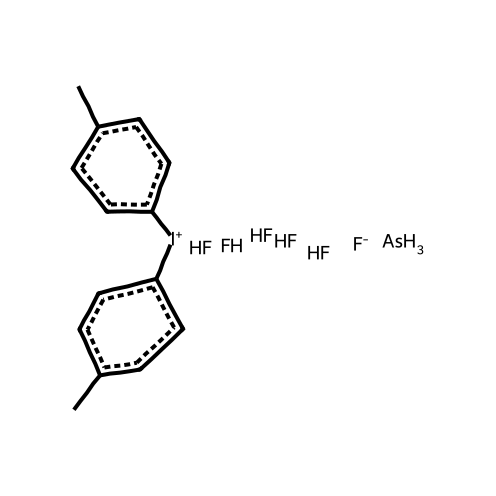 Cc1ccc([I+]c2ccc(C)cc2)cc1.F.F.F.F.F.[AsH3].[F-]